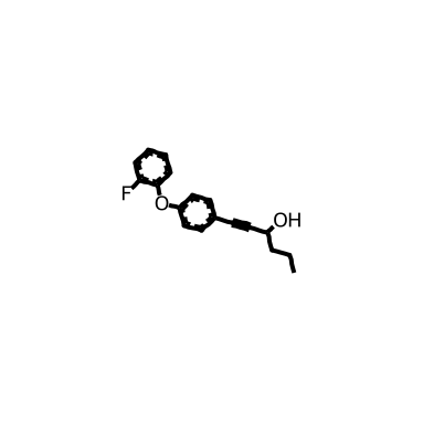 CCCC(O)C#Cc1ccc(Oc2ccccc2F)cc1